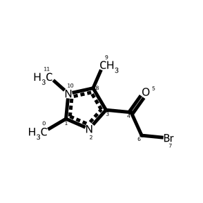 Cc1nc(C(=O)CBr)c(C)n1C